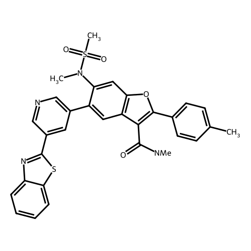 CNC(=O)c1c(-c2ccc(C)cc2)oc2cc(N(C)S(C)(=O)=O)c(-c3cncc(-c4nc5ccccc5s4)c3)cc12